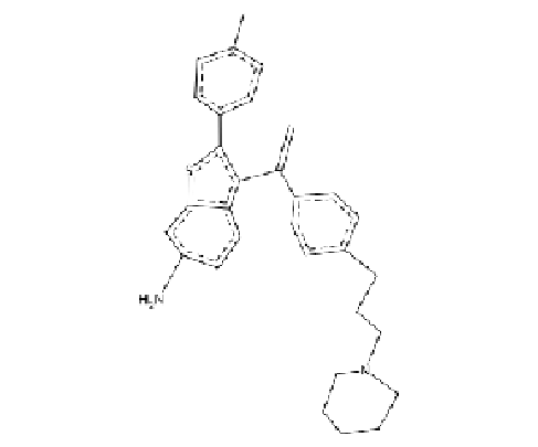 C=C(c1ccc(CCCN2CCCCC2)cc1)c1c(-c2ccc(C)cc2)sc2cc(N)ccc12